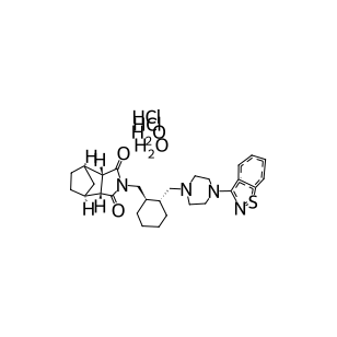 Cl.Cl.O.O.O=C1[C@@H]2[C@H]3CC[C@H](C3)[C@@H]2C(=O)N1C[C@@H]1CCCC[C@H]1CN1CCN(c2nsc3ccccc23)CC1